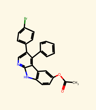 CC(=O)Oc1ccc2[nH]c3ncc(-c4ccc(Br)cc4)c(-c4ccccc4)c3c2c1